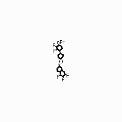 CCCc1ccc(-c2ccc(OCc3ccc4c(F)c(F)c(F)cc4c3)cc2)c(F)c1F